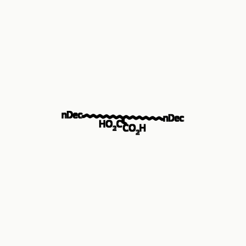 CCCCCCCCCCCCCCCCCCCCCCC(CCCCCCCCCCCCCCCCCCCCCC)=C(CC(=O)O)C(=O)O